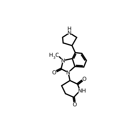 Cn1c(=O)n(C2CCC(=O)NC2=O)c2cccc(C3CCNC3)c21